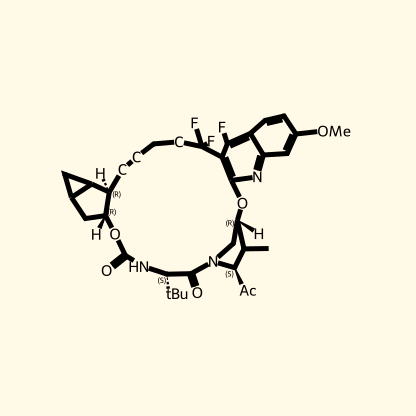 COc1ccc2c(F)c3c(nc2c1)O[C@H]1CN(C(=O)[C@H](C(C)(C)C)NC(=O)O[C@@H]2CC4CC4[C@H]2CCCCC3(F)F)[C@H](C(C)=O)C1C